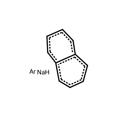 [Ar].[NaH].c1ccc2ccccc2c1